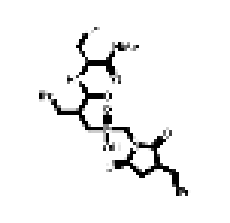 CNC(=O)[C@H](CC(C)C)NC(=O)C(CC(C)C)CP(=O)(O)CN1C(=O)CC(CC(C)C)C1=O